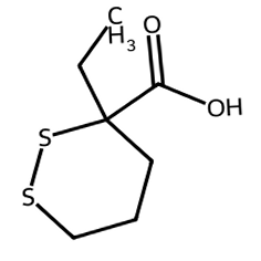 CCC1(C(=O)O)CCCSS1